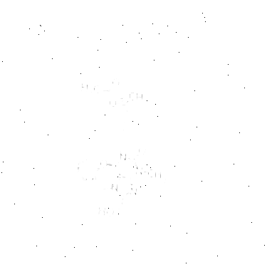 CC(=O)O[C@@H](C)CCCCn1c(=O)c2c(nc(CO)n2Cc2ccccc2)n(C)c1=O